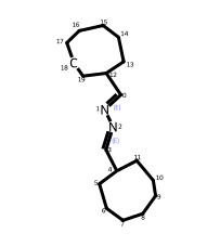 C(=N\N=C\C1CCCCCCC1)/C1CCCCCCC1